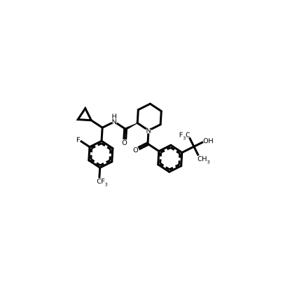 CC(O)(c1cccc(C(=O)N2CCCC[C@@H]2C(=O)NC(c2ccc(C(F)(F)F)cc2F)C2CC2)c1)C(F)(F)F